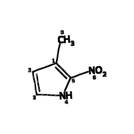 Cc1cc[nH]c1[N+](=O)[O-]